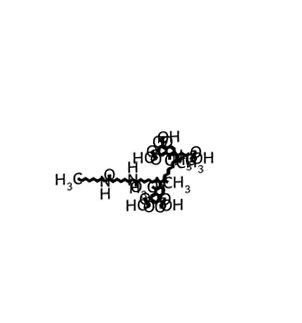 CCCCCCCNC(=O)CCCCCNC(=O)CCCCCN(/C(C)=C/C=C/C=C/C(C)N(CCCS(=O)(=O)O)c1ccc2c(S(=O)(=O)O)cc(S(=O)(=O)O)cc2c1C)c1ccc2c(S(=O)(=O)O)cc(S(=O)(=O)O)cc2c1C